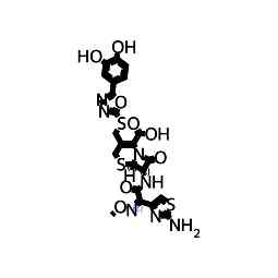 CO/N=C(\C(=O)N[C@@H]1C(=O)N2C(C(=O)O)=C(CSc3nnc(-c4ccc(O)c(O)c4)o3)CS[C@H]12)c1csc(N)n1